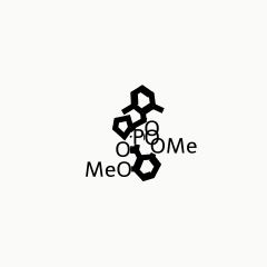 COc1cccc(OC)c1C(=O)[P](=O)C1(C(=O)c2c(C)cccc2C)CCCC1